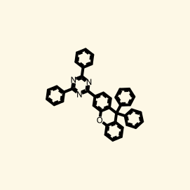 c1ccc(-c2nc(-c3ccccc3)nc(-c3ccc4c(c3)Oc3ccccc3C4(c3ccccc3)c3ccccc3)n2)cc1